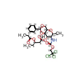 CCC(=O)O[C@H](CC)CC(=O)O[C@@H]1C(NC(=O)OCC(Cl)(Cl)Cl)[C@H](C)OC2COC(c3ccccc3)O[C@H]21